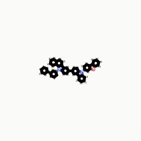 c1ccc(-c2cccc(-n3c4ccc(-c5ccc6c(c5)c5ccccc5n6-c5ccc6c(c5)oc5ccccc56)cc4c4ccc5ccccc5c43)c2)cc1